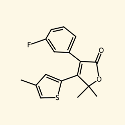 Cc1csc(C2=C(c3cccc(F)c3)C(=O)OC2(C)C)c1